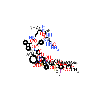 CCN(C(=O)OCc1ccc(NC(=O)[C@H](CCCNC(N)=O)NC(=O)[C@@H](NC(=O)[C@H](CCCCNC(=O)OCC2c3ccccc3-c3ccccc32)NC(C)=O)C(C)C)cc1)[C@H]1CO[C@@H](O[C@H]2[C@H](O[C@H]3C#CC=CC#C[C@]4(O)CC(=O)C(NC(=O)OC)=C3/C4=C\CSSc3ccccc3)O[C@H](C)[C@@H](NO[C@H]3C[C@H](O)[C@H]([SH]=C(O)c4c(C)c(I)c(O[C@@H]5O[C@@H](C)[C@H](O)[C@@H](OC)[C@H]5O)c(OC)c4OC)[C@@H](C)O3)[C@@H]2O)C[C@@H]1OC